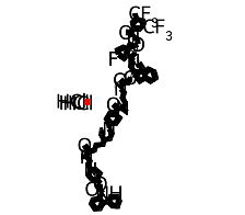 CN(CCN1CCC(OC(=O)Nc2ccccc2-c2ccccc2)CC1)C(=O)CCCC1CCN(c2ccc(C(=O)N(C)CCCN(C)C(=O)CO[C@H]3Cc4ccccc4C34CCN(CC[C@]3(c5ccc(F)cc5)CN(C(=O)c5cc(C(F)(F)F)cc(C(F)(F)F)c5)CO3)CC4)cc2)CC1.Cl.Cl.Cl